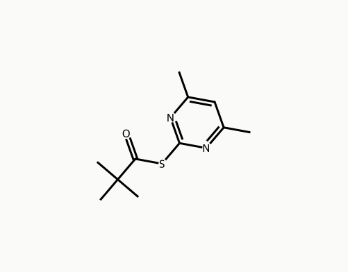 Cc1cc(C)nc(SC(=O)C(C)(C)C)n1